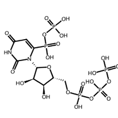 O=c1cc(P(=O)(O)OP(=O)(O)O)n([C@@H]2O[C@H](COP(=O)(O)OP(=O)(O)OP(=O)(O)O)[C@@H](O)[C@H]2O)c(=O)[nH]1